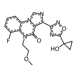 COCCn1c(=O)c2c(-c3noc(C4(O)CC4)n3)ncn2c2cccc(F)c21